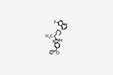 C[C@@H](c1nc2cc(C(=O)N3CCC3)ccc2[nH]1)[C@H]1CC[C@@H](c2ccnc3ccc(F)cc32)CC1